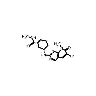 CNC(=O)[C@@H]1CCC[C@H](Nc2ncc3cc(Br)c(=O)n(C)c3n2)C1